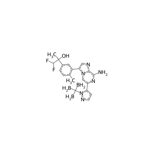 BC(B)(B)n1nccc1-c1cn2c(-c3cc(C(C)(O)C(F)F)ccc3C)cnc2c(N)n1